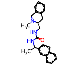 C[C@@H](NC(=O)NC[C@@H]1Cc2ccccc2CN1C)c1ccc2ccccc2c1